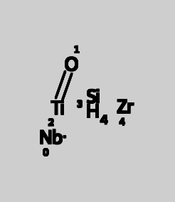 [Nb].[O]=[Ti].[SiH4].[Zr]